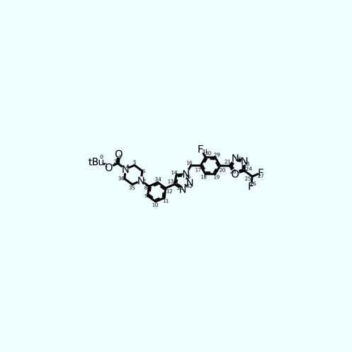 CC(C)(C)OC(=O)N1CCN(c2cccc(-c3cn(Cc4ccc(-c5nnc(C(F)F)o5)cc4F)nn3)c2)CC1